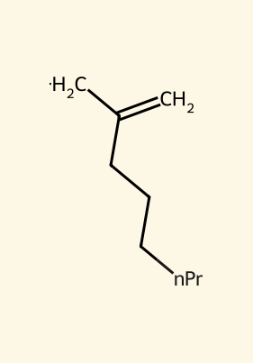 [CH2]C(=C)CCCCCC